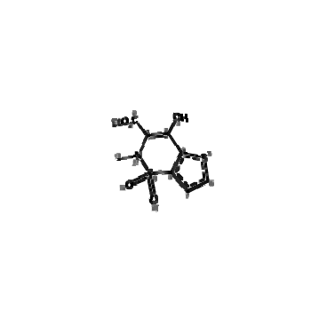 CCOC(=O)C1=C(O)c2sccc2S(=O)(=O)N1C